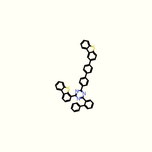 c1ccc(-c2ccccc2-c2nc(-c3ccc(-c4ccc(-c5ccc6sc7ccccc7c6c5)cc4)cc3)nc(-c3cccc4c3sc3ccccc34)n2)cc1